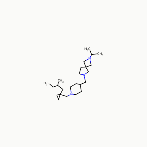 CCC(C)CC1(CN2CCC(CN3CCC4(C3)CN(C(C)C)C4)CC2)CC1